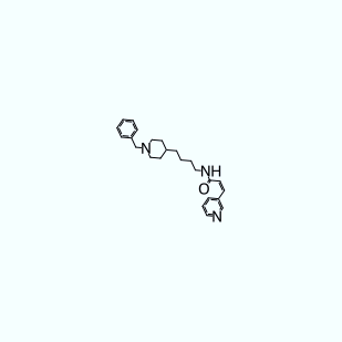 O=C(/C=C\c1cccnc1)NCCCCC1CCN(Cc2ccccc2)CC1